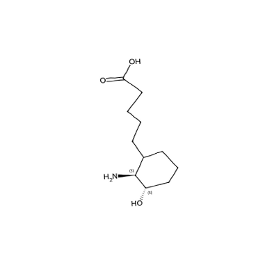 N[C@H]1C(CCCCC(=O)O)CCC[C@@H]1O